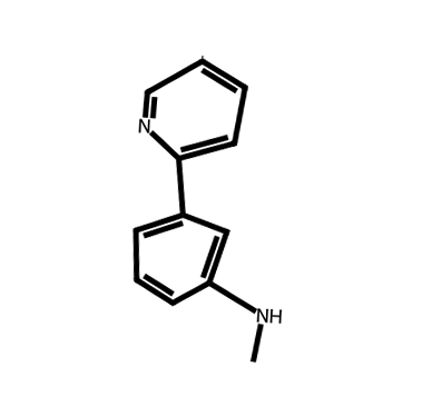 CNc1cccc(-c2cc[c]cn2)c1